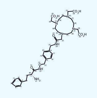 N[C@H](CCc1ccccc1)C(=O)NOCc1ccc(CNC(=O)CN2CCN(CC(=O)O)CCN(CC(=O)O)CCN(CC(=O)O)CC2)cc1